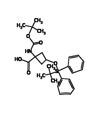 CC(C)(C)OC(=O)NC1(C(=O)O)CC(O[Si](c2ccccc2)(c2ccccc2)C(C)(C)C)C1